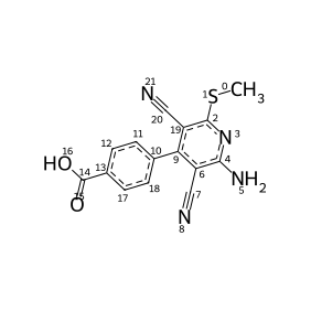 CSc1nc(N)c(C#N)c(-c2ccc(C(=O)O)cc2)c1C#N